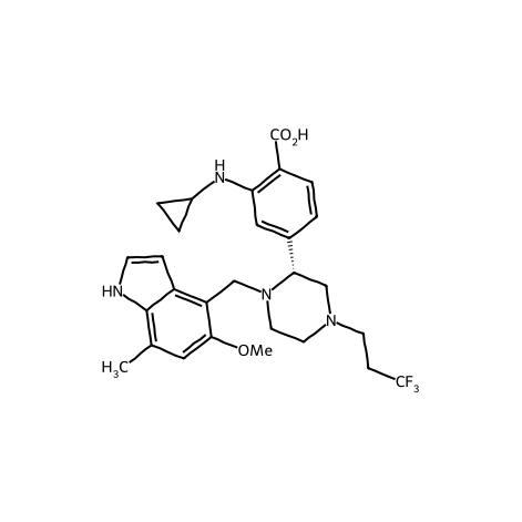 COc1cc(C)c2[nH]ccc2c1CN1CCN(CCC(F)(F)F)C[C@H]1c1ccc(C(=O)O)c(NC2CC2)c1